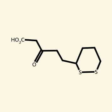 O=C(O)CC(=O)CCC1CCCSS1